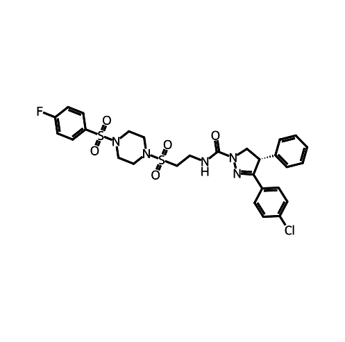 O=C(NCCS(=O)(=O)N1CCN(S(=O)(=O)c2ccc(F)cc2)CC1)N1C[C@H](c2ccccc2)C(c2ccc(Cl)cc2)=N1